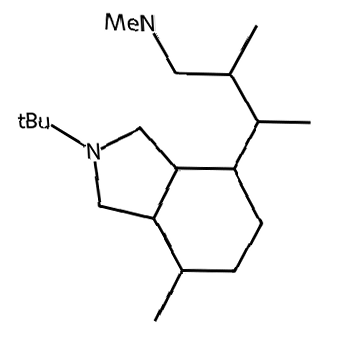 CNCC(C)C(C)C1CCC(C)C2CN(C(C)(C)C)CC21